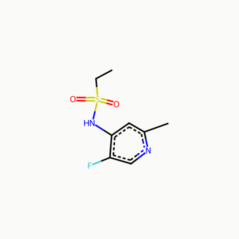 CCS(=O)(=O)Nc1cc(C)ncc1F